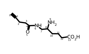 C#CCCC(=O)NCC(N)CCCC(=O)O